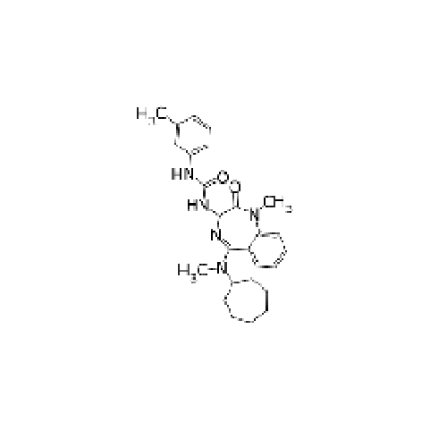 Cc1cccc(NC(=O)NC2N=C(N(C)C3CCCCCC3)c3ccccc3N(C)C2=O)c1